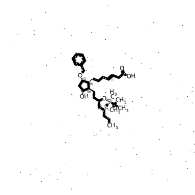 CCCCCC(CC[C@@H]1[C@@H](CCC/C=C/CC(=O)O)[C@@H](OCc2ccccc2)C[C@H]1O)O[Si](C)(C)C(C)(C)C